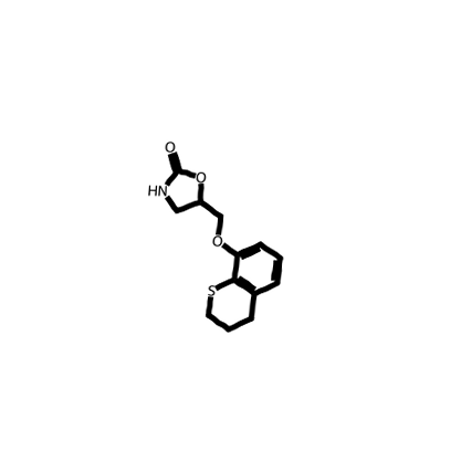 O=C1NCC(COc2cccc3c2SCCC3)O1